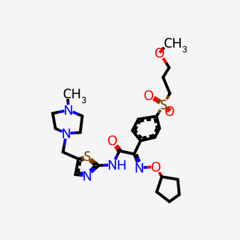 COCCCS(=O)(=O)c1ccc(/C(=N\OC2CCCC2)C(=O)Nc2ncc(CN3CCN(C)CC3)s2)cc1